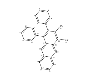 CC(C)c1c(-c2ccccc2)c(-c2ccccc2)c2cc3ccccc3nc2c1C(C)C